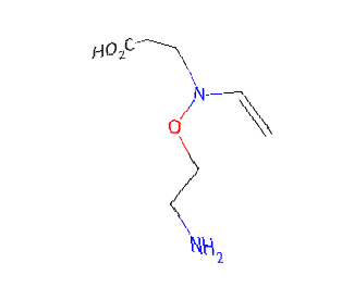 C=CN(CC(=O)O)OCCN